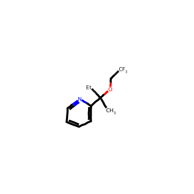 CCC(C)(OCC(F)(F)F)c1ccccn1